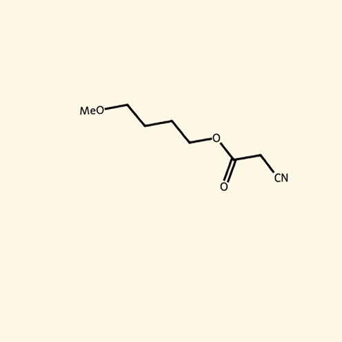 COCCCCOC(=O)CC#N